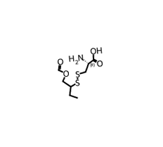 CCC(COC=O)SSC[C@H](N)C(=O)O